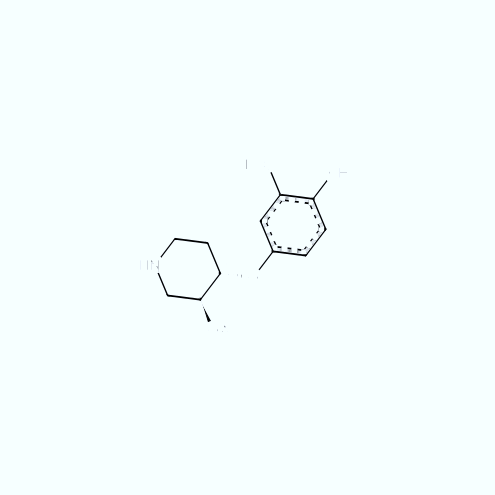 CC(=O)O[C@H]1CNCC[C@@H]1Oc1ccc(C)c(C)c1